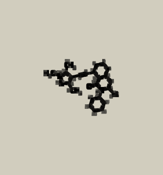 CCc1cc2cccc(C#Cc3c(C)nn(C)c3C)c2c(=O)n1-c1ccccc1